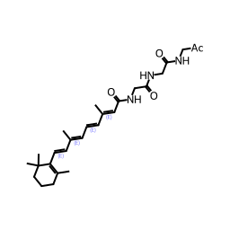 CC(=O)CNC(=O)CNC(=O)CNC(=O)/C=C(C)/C=C/C=C(C)/C=C/C1=C(C)CCCC1(C)C